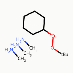 CC(C)(C)OOC1CCCCC1.CN.CN.CN